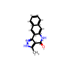 Cc1[nH]nc2c1c(=O)[nH]c1cc3ccccc3cc12